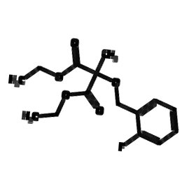 CCOC(=O)C(C)(OCc1ccccc1F)C(=O)OCC